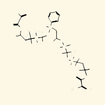 C=C(C)C(=O)OC(C)CC(C)(CC)[Si](C)(C)[C@@](C)(CC)O[Si](C)(c1ccccc1)[C@H](C)C(C)O[Si](C)(C)C(C)(CC)O[Si](C)(C)C(C)(CC)CC(C)(CC)OC(=O)C(=C)C